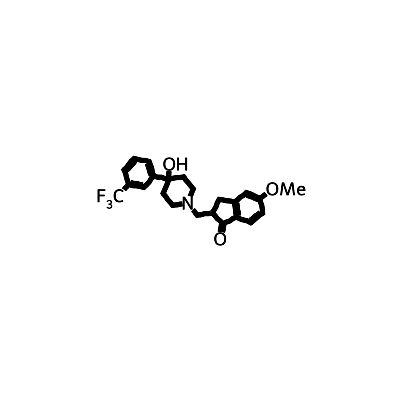 COc1ccc2c(c1)CC(CN1CCC(O)(c3cccc(C(F)(F)F)c3)CC1)C2=O